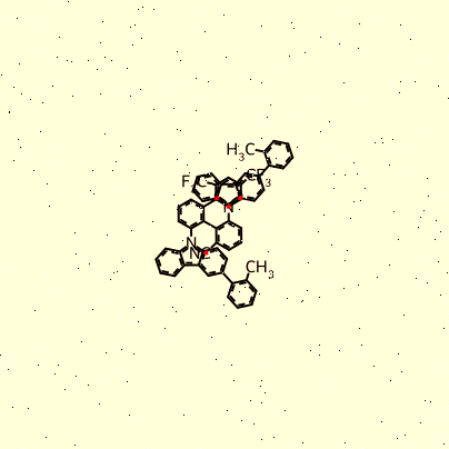 Cc1ccccc1-c1ccc2c(c1)c1ccccc1n2-c1cccc(C#N)c1-c1c(-c2ccc(C(F)(F)F)cc2C(F)(F)F)cccc1-n1c2ccccc2c2cc(-c3ccccc3C)ccc21